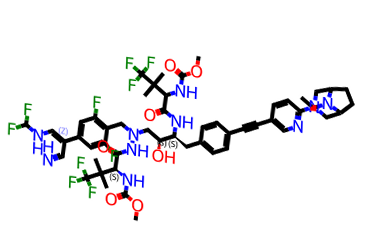 CCN1C2CCC1CN(c1ccc(C#Cc3ccc(C[C@H](NC(=O)C(NC(=O)OC)C(C)(C)C(F)(F)F)[C@@H](O)CN(Cc4c(F)cc(/C(C=N)=C/NC(F)F)cc4F)NC(=O)[C@@H](NC(=O)OC)C(C)(C)C(F)(F)F)cc3)cn1)C2